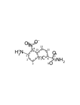 Nc1ccc2cc(S(N)(=O)=O)ccc2c1[N+](=O)[O-]